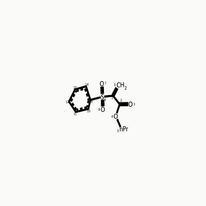 C=C(C(=O)OCCC)S(=O)(=O)c1ccccc1